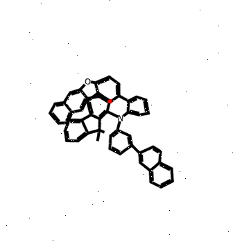 CC1(C)c2ccccc2-c2cccc(N(c3cccc(-c4ccc5ccccc5c4)c3)c3ccccc3-c3ccc4oc5cc6ccccc6cc5c4c3)c21